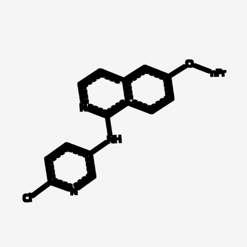 CCCOc1ccc2c(Nc3ccc(Cl)nc3)nccc2c1